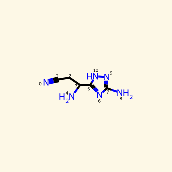 N#CCC(N)c1nc(N)n[nH]1